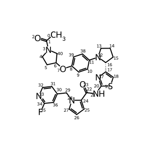 CC(=O)N1CCC(Oc2ccc(N3CCC[C@@H]3c3csc(NC(=O)c4cccn4Cc4ccnc(F)c4)n3)cc2)C1